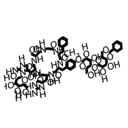 CC(c1ccccc1)C1NC(=O)CNC(=O)C(CO)NC(=O)C(C(O)C2CNC(=N)N2C2OC(CO)C(O)C(O)C2O)NC(=O)C(C(O)C2CNC(=N)N2)NC(=O)C(Cc2ccc(OC3OC(CO)C(OC4OC5COC(C6CC=CCC6)OC5C(O)C4O)C(O)C3O)cc2)NC1=O